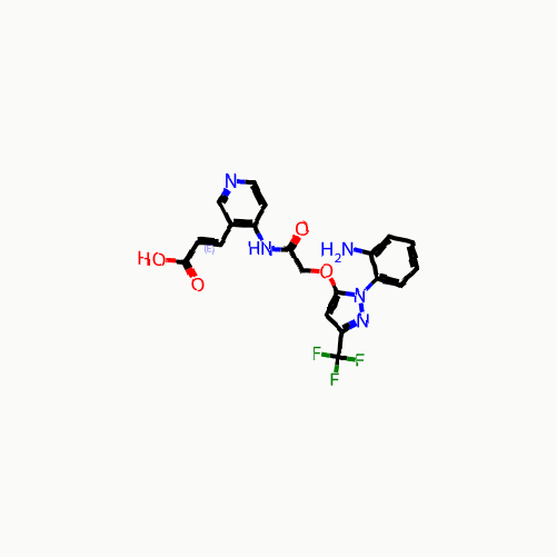 Nc1ccccc1-n1nc(C(F)(F)F)cc1OCC(=O)Nc1ccncc1/C=C/C(=O)O